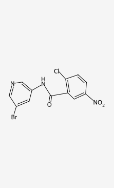 O=C(Nc1cncc(Br)c1)c1cc([N+](=O)[O-])ccc1Cl